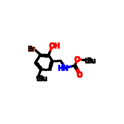 CC(C)(C)OC(=O)NCc1cc(C(C)(C)C)cc(Br)c1O